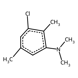 Cc1cc(Cl)c(C)c(N(C)C)c1